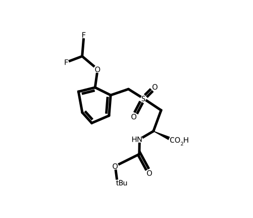 CC(C)(C)OC(=O)N[C@@H](CS(=O)(=O)Cc1ccccc1OC(F)F)C(=O)O